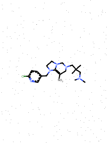 CN(C)CC(C)(C)CN1CC([N+](=O)[O-])=C2N(Cc3ccc(Cl)nc3)CCN2C1